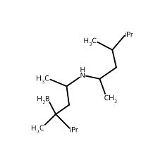 BC(C)(CC(C)NC(C)CC(C)C(C)C)C(C)C